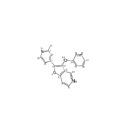 Cc1cc(-c2oc3ccncc3c2Oc2ccccc2)ccn1